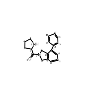 O=C(C1CCCN1)N1Cc2cccc(-c3ccccc3)c2C1